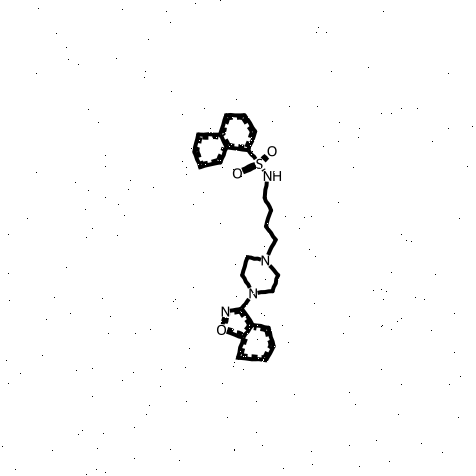 O=S(=O)(NCCCCN1CCN(c2noc3ccccc23)CC1)c1cccc2ccccc12